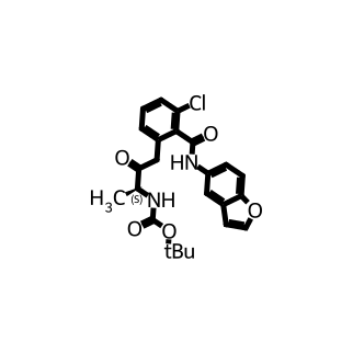 C[C@H](NC(=O)OC(C)(C)C)C(=O)Cc1cccc(Cl)c1C(=O)Nc1ccc2occc2c1